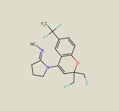 N#CN=C1CCCN1C1=CC(CF)(CF)Oc2ccc(C(F)(F)C(F)(F)F)cc21